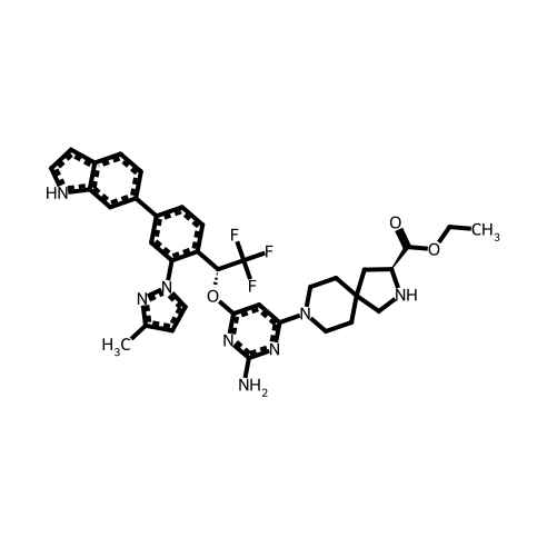 CCOC(=O)[C@@H]1CC2(CCN(c3cc(O[C@H](c4ccc(-c5ccc6cc[nH]c6c5)cc4-n4ccc(C)n4)C(F)(F)F)nc(N)n3)CC2)CN1